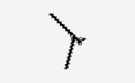 CCCCCCCCCCCCCCCCOCC(CS[P](=O)OCC)OCCCCCCCCCCCCCCCC